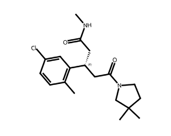 CNC(=O)C[C@H](CC(=O)N1CCC(C)(C)C1)c1cc(Cl)ccc1C